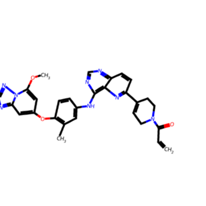 C=CC(=O)N1CC=C(c2ccc3ncnc(Nc4ccc(Oc5cc(OC)n6ncnc6c5)c(C)c4)c3n2)CC1